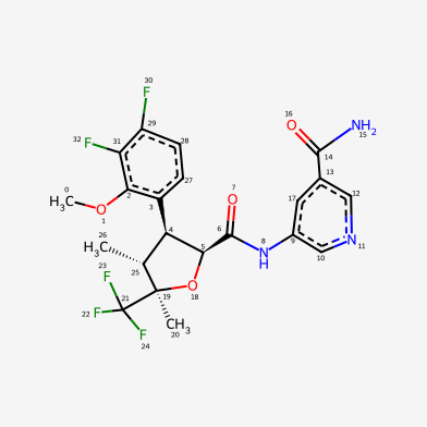 COc1c([C@H]2[C@@H](C(=O)Nc3cncc(C(N)=O)c3)O[C@@](C)(C(F)(F)F)[C@@H]2C)ccc(F)c1F